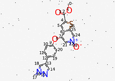 COC(=O)c1cc2c(Oc3ccc(-c4cnn(C)c4)cc3)c[n+]([O-])cc2s1